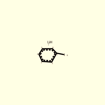 Ic1ccccc1.[LiH]